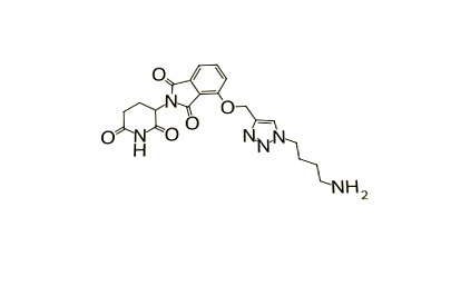 NCCCCn1cc(COc2cccc3c2C(=O)N(C2CCC(=O)NC2=O)C3=O)nn1